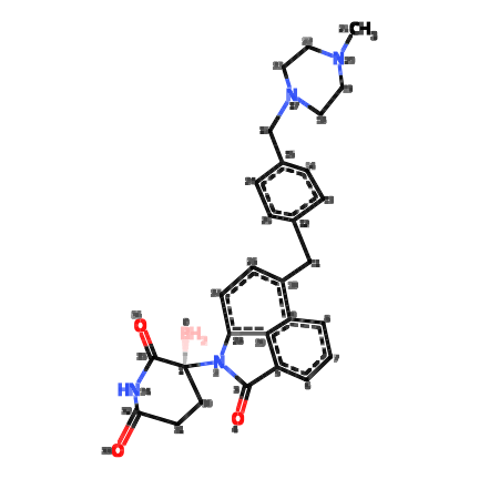 B[C@]1(N2C(=O)c3cccc4c(Cc5ccc(CN6CCN(C)CC6)cc5)ccc2c34)CCC(=O)NC1=O